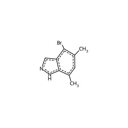 Cc1cc(C)c2[nH]ncc2c1Br